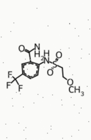 COCCS(=O)(=O)Nc1ccc(C(F)(F)F)cc1C(N)=O